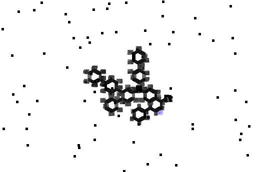 CCC(/C=C\Cc1ccccc1)c1ccc(N(c2ccc(-c3ccccc3)cc2)c2ccc(-c3ccccc3)c(-c3ccc(-c4ccccc4)cc3)c2)cc1